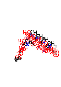 Cc1ncc(COP(=O)([O-])[O-])c(C=O)c1O.Cc1ncc(COP(=O)([O-])[O-])c(C=O)c1O.Cc1ncc(COP(=O)([O-])[O-])c(C=O)c1O.Cc1ncc(COP(=O)([O-])[O-])c(C=O)c1O.Cc1ncc(COP(=O)([O-])[O-])c(C=O)c1O.O=CC(=O)[O-].O=CC(=O)[O-].O=CC(=O)[O-].O=CC(=O)[O-].O=CC(=O)[O-].[V+5].[V+5].[V+5]